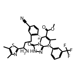 COC(=O)C1=C(C)N(c2cccc(C(F)(F)F)c2)c2n[nH]c(=O)n2[C@@H]1c1ccc(C#N)cc1CCC(N)c1nc(C)c(C)s1